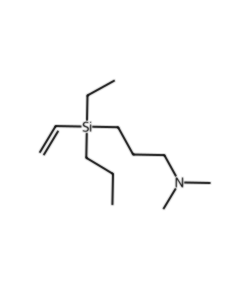 C=C[Si](CC)(CCC)CCCN(C)C